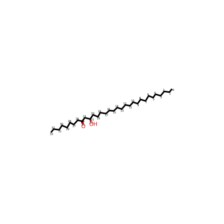 CCCCCCCCCCCCCCCCCCCCCC(O)CC(=O)CCCCCCCC